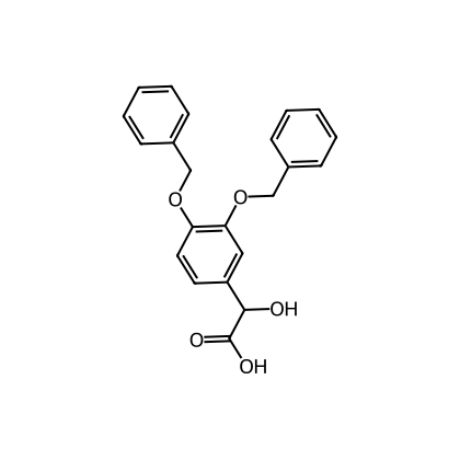 O=C(O)C(O)c1ccc(OCc2ccccc2)c(OCc2ccccc2)c1